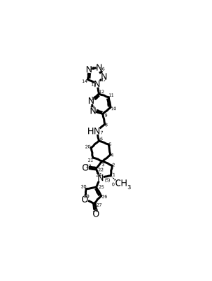 C[C@H]1CC2(CCC(NCc3ccc(-n4cnnn4)nn3)CC2)C(=O)N1C1=CC(=O)OC1